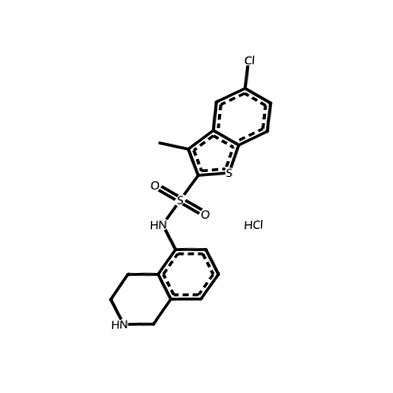 Cc1c(S(=O)(=O)Nc2cccc3c2CCNC3)sc2ccc(Cl)cc12.Cl